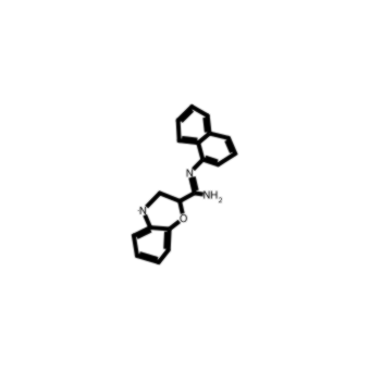 NC(=Nc1cccc2ccccc12)C1C[N]c2ccccc2O1